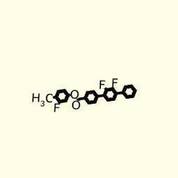 Cc1ccc(OC(=O)c2ccc(-c3ccc(-c4ccccc4)c(F)c3F)cc2)cc1F